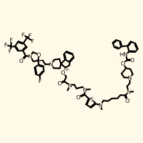 CN(CCN1CCC(OC(=O)Nc2ccccc2-c2ccccc2)CC1)C(=O)CCCCCN(C)c1ccc(C(=O)N(C)CCCN(C)C(=O)CO[C@H]2Cc3ccccc3C23CCN(CC[C@@]2(c4ccc(F)cc4)CN(C(=O)c4cc(C(F)(F)F)cc(C(F)(F)F)c4)CO2)CC3)s1